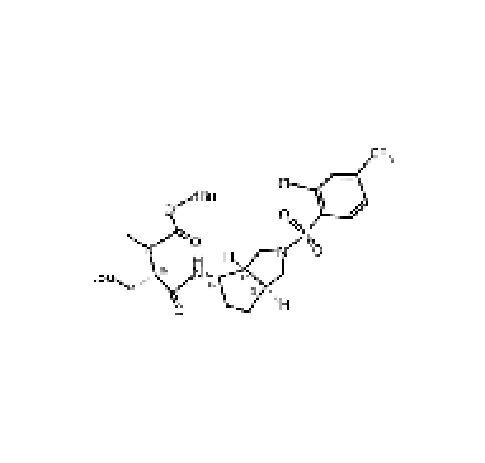 CN(C(=O)OC(C)(C)C)[C@@H](CC(C)(C)C)C(=O)N[C@H]1CC[C@@H]2CN(S(=O)(=O)c3ccc(C(F)(F)F)cc3Cl)C[C@@H]21